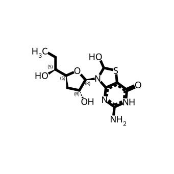 CC[C@H](O)[C@@H]1C[C@@H](O)[C@H](N2c3nc(N)[nH]c(=O)c3SC2O)O1